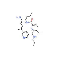 C/C=C(\N=C(/CCC)CNCCC)C(=O)NC(=C\CC)/C(N)=C\C=C(/C)c1cccnc1